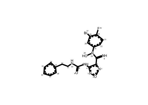 N=C(c1nonc1NC(=O)NCCc1ccccc1)N(O)c1ccc(F)c(Br)c1